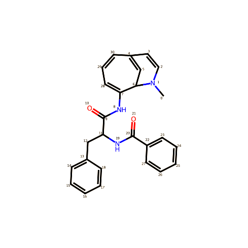 CN1C=CC2=CC1C(NC(=O)C(Cc1ccccc1)NC(=O)c1ccccc1)=CC=C2